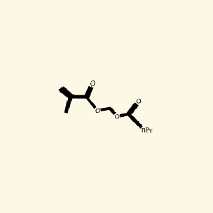 C=C(C)C(=O)OCOC(=O)CCC